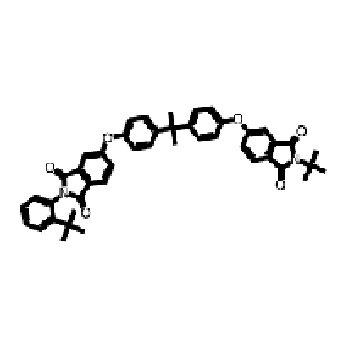 CC(C)(C)c1ccccc1N1C(=O)c2ccc(Oc3ccc(C(C)(C)c4ccc(Oc5ccc6c(c5)C(=O)N(C(C)(C)C)C6=O)cc4)cc3)cc2C1=O